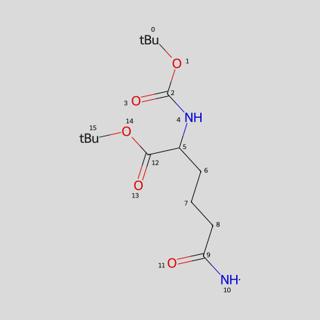 CC(C)(C)OC(=O)NC(CCCC([NH])=O)C(=O)OC(C)(C)C